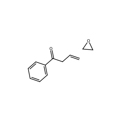 C1CO1.C=CCC(=O)c1ccccc1